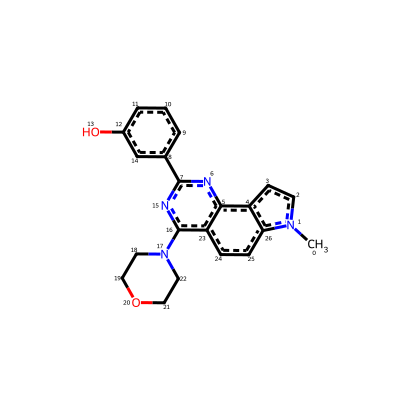 Cn1ccc2c3nc(-c4cccc(O)c4)nc(N4CCOCC4)c3ccc21